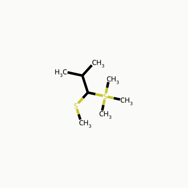 CSC(C(C)C)S(C)(C)C